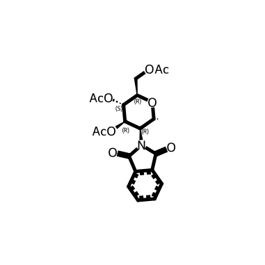 CC(=O)OC[C@H]1O[CH][C@@H](N2C(=O)c3ccccc3C2=O)[C@@H](OC(C)=O)[C@@H]1OC(C)=O